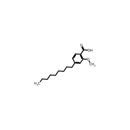 CCCCCCCCCc1ccc(C(=O)O)c(OC)c1